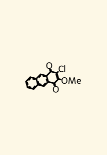 COC1=C(Cl)C(=O)c2cc3ccccc3cc2C1=O